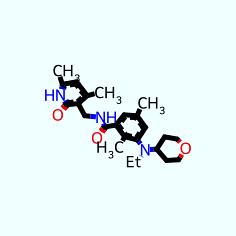 CCN(c1cc(C)cc(C(=O)NCc2c(C)cc(C)[nH]c2=O)c1C)C1CCOCC1